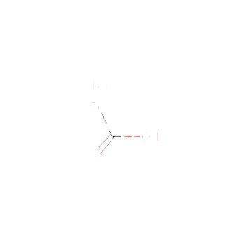 CCC(=O)O.[SbH3]